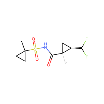 CC1(S(=O)(=O)NC(=O)[C@@]2(C)C[C@H]2C(F)F)CC1